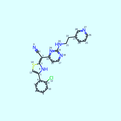 N#CC(=C1NC(c2ccccc2Cl)=CS1)c1ccnc(NCCc2cccnc2)n1